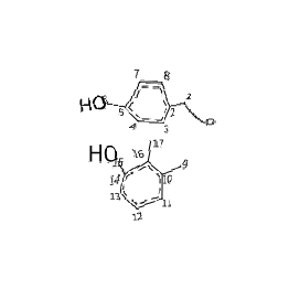 CCc1ccc(O)cc1.Cc1cccc(O)c1C